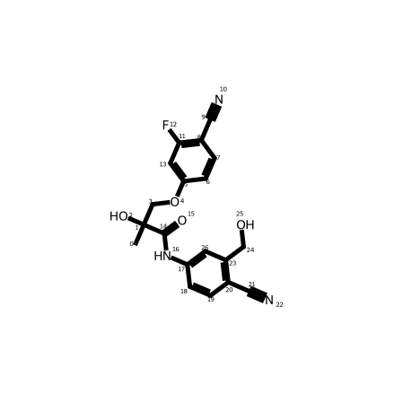 CC(O)(COc1ccc(C#N)c(F)c1)C(=O)Nc1ccc(C#N)c(CO)c1